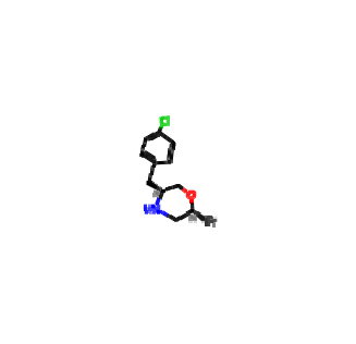 CC(C)[C@H]1CN[C@@H](Cc2ccc(Cl)cc2)CO1